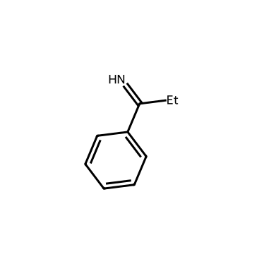 CCC(=N)c1ccccc1